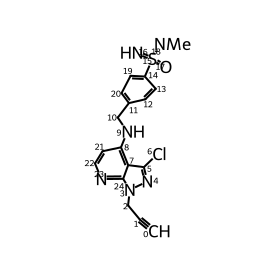 C#CCn1nc(Cl)c2c(NCc3ccc(S(=N)(=O)NC)cc3)ccnc21